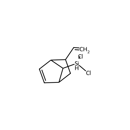 C=CC1CC2C=CC1C2[SiH](Cl)Cl